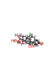 C[C@@H]1C[C@H]2[C@H]3[C@H]([C@@H](O)C[C@]2(C)[C@@]1(O)C(=O)CO)[C@@]1(C)C=CC(=O)C=C1C[C@H]3Br